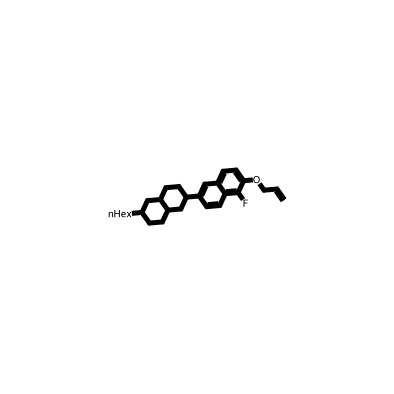 C=CCOc1ccc2cc(C3CCC4CC(CCCCCC)CCC4C3)ccc2c1F